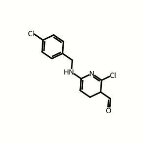 O=CC1CC=C(NCc2ccc(Cl)cc2)N=C1Cl